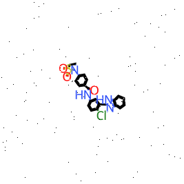 O=C(Nc1ccc(Cl)c(-c2nc3ccccc3[nH]2)c1)c1ccc(N2CCS2(=O)=O)cc1